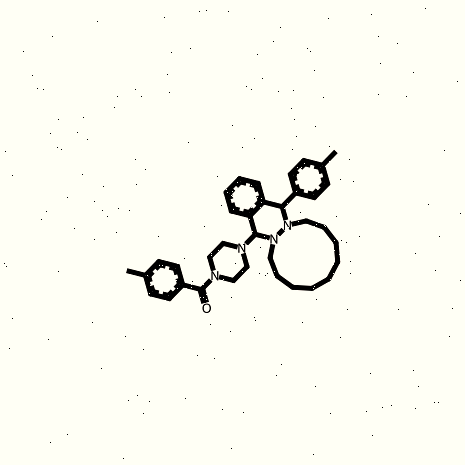 Cc1ccc(C(=O)N2CCN(C3c4ccccc4C(c4ccc(C)cc4)N4CCCCCCCCCN34)CC2)cc1